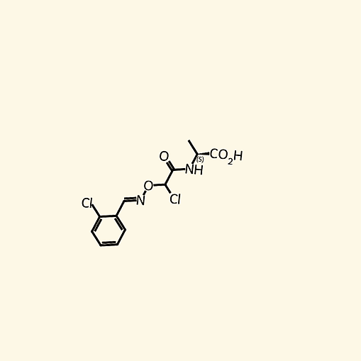 C[C@H](NC(=O)C(Cl)ON=Cc1ccccc1Cl)C(=O)O